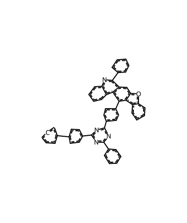 c1ccc(-c2ccc(-c3nc(-c4ccccc4)nc(-c4ccc(-c5c6c(cc7c(-c8ccccc8)nc8ccccc8c57)oc5ccccc56)cc4)n3)cc2)cc1